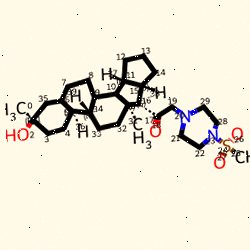 C[C@@]1(O)CC[C@H]2C(CCC3C4[C@@H]5CCC[C@@H]5[C@H](C(=O)CN5CCN(S(C)(=O)=O)CC5)[C@@]4(C)CC[C@@H]32)C1